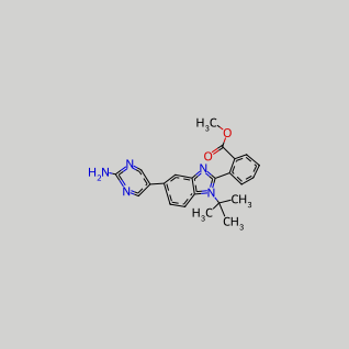 COC(=O)c1ccccc1-c1nc2cc(-c3cnc(N)nc3)ccc2n1C(C)(C)C